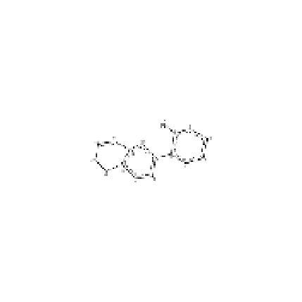 Brc1ccccc1-c1ccc2c(c1)C=CCC2